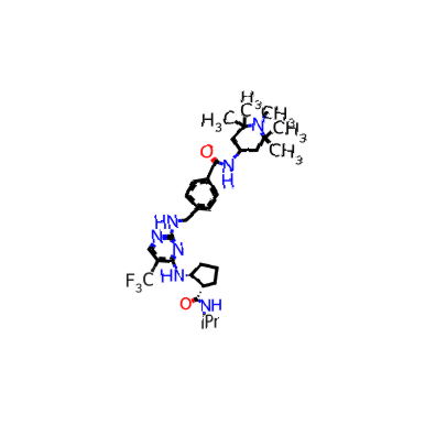 CC(C)NC(=O)[C@H]1CCC[C@H]1Nc1nc(NCc2ccc(C(=O)NC3CC(C)(C)N(C)C(C)(C)C3)cc2)ncc1C(F)(F)F